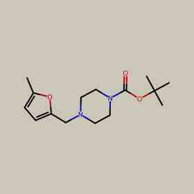 Cc1ccc(CN2CCN(C(=O)OC(C)(C)C)CC2)o1